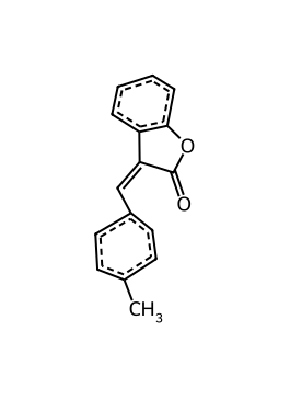 Cc1ccc(C=C2C(=O)Oc3ccccc32)cc1